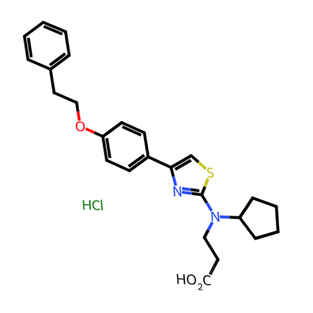 Cl.O=C(O)CCN(c1nc(-c2ccc(OCCc3ccccc3)cc2)cs1)C1CCCC1